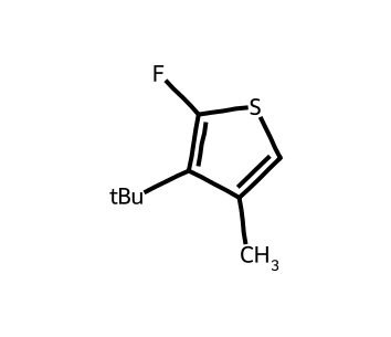 Cc1csc(F)c1C(C)(C)C